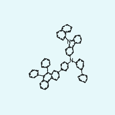 c1ccc(-c2cccc(N(c3ccc(-c4ccc5c(c4)c(-c4ccccc4)c(-c4ccccc4)c4ccccc45)cc3)c3ccc4c(c3)c3ccccc3n4-c3cccc4ccccc34)c2)cc1